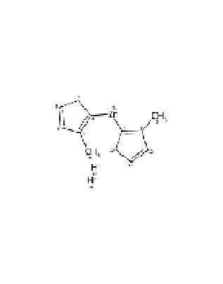 CC1=[C]([Zr][C]2=C(C)C=CC2)CC=C1.[H-].[H-]